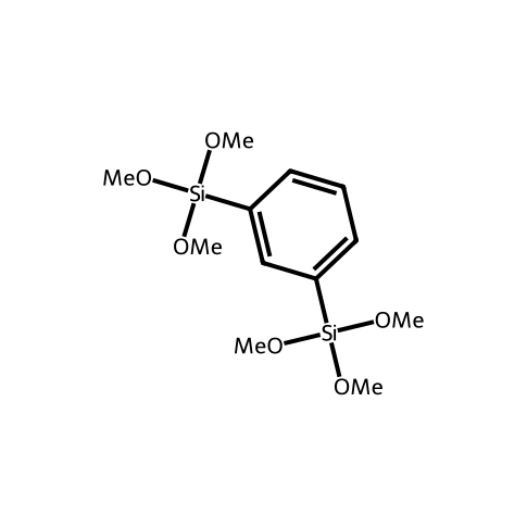 CO[Si](OC)(OC)c1cccc([Si](OC)(OC)OC)c1